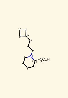 O=C(O)[C@H]1CCCCN1CCCC1CCC1